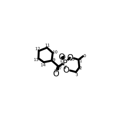 CC1CCOP(=O)(C(=O)C2CCCCC2)O1